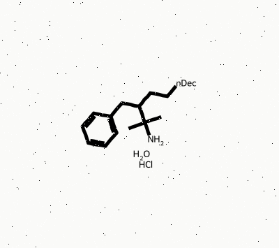 CCCCCCCCCCCCC(Cc1ccccc1)C(C)(C)N.Cl.O